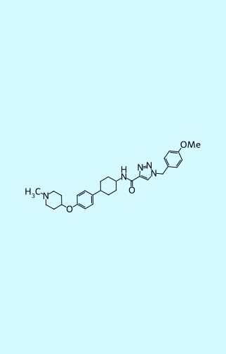 COc1ccc(Cn2cc(C(=O)NC3CCC(c4ccc(OC5CCN(C)CC5)cc4)CC3)nn2)cc1